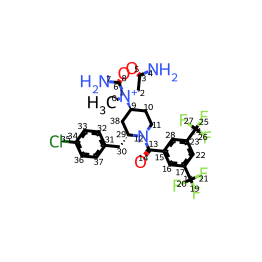 C[N+](CC(N)=O)(C(N)=O)[C@H]1CCN(C(=O)c2cc(C(F)(F)F)cc(C(F)(F)F)c2)[C@H](Cc2ccc(Cl)cc2)C1